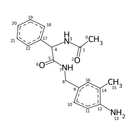 CC(=O)NC(C(=O)NCc1ccc(N)c(C)c1)c1ccccc1